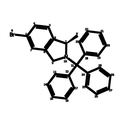 C[C@@H]1c2ccc(Br)cc2CN1C(c1ccccc1)(c1ccccc1)c1ccccc1